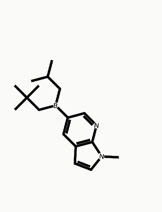 CC(C)CB(CC(C)(C)C)c1cnc2c(ccn2C)c1